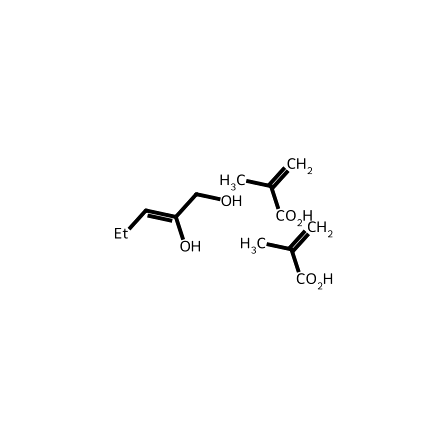 C=C(C)C(=O)O.C=C(C)C(=O)O.CCC=C(O)CO